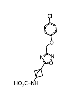 O=C(O)NC12CC(c3nc(COc4ccc(Cl)cc4)no3)(C1)C2